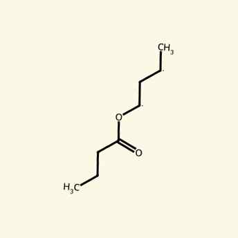 C[CH]C[CH]OC(=O)CCC